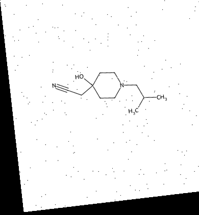 C[C](C)CN1CCC(O)(CC#N)CC1